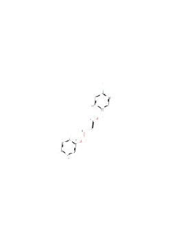 Fc1ccc(OC=CCOc2ccccc2)cc1